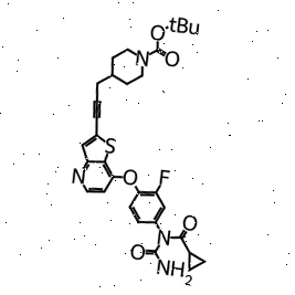 CC(C)(C)OC(=O)N1CCC(CC#Cc2cc3nccc(Oc4ccc(N(C(N)=O)C(=O)C5CC5)cc4F)c3s2)CC1